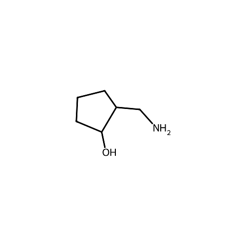 NCC1CCCC1O